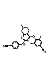 Cc1cc(C#N)cc(C)c1Oc1nc(Nc2ccc(C#N)cc2)nc2c1CCN(C)C2